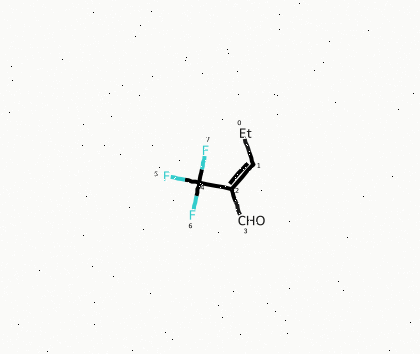 CCC=C(C=O)C(F)(F)F